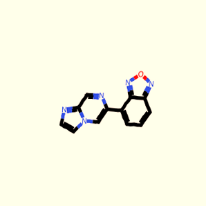 [c]1nc(-c2cccc3nonc23)cn2ccnc12